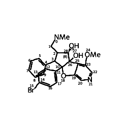 CNCC1C(c2ccccc2)C2(c3ccc(Br)cc3)Oc3cncc(OC)c3C2(O)[C@@H]1O